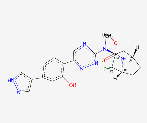 CN(c1ncc(-c2ccc(-c3cn[nH]c3)cc2O)nn1)[C@H]1C[C@@H]2CC[C@H]([C@H]1F)N2C(=O)OC(C)(C)C